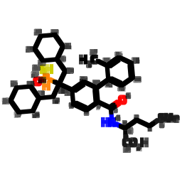 CSCC[C@H](NC(=O)c1ccc(C(CC2CCCCC2)(CC2CCCCC2)[PH](=O)S)cc1-c1ccccc1C)C(=O)O